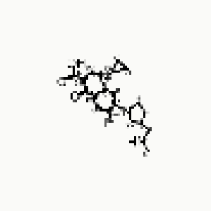 CNCC1CCN(c2cc3c(cc2F)c(=O)c(C(=O)O)cn3C2CC2)C1